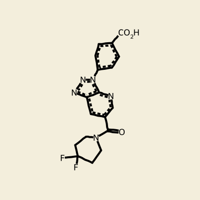 O=C(O)c1ccc(-n2nnc3cc(C(=O)N4CCC(F)(F)CC4)cnc32)cc1